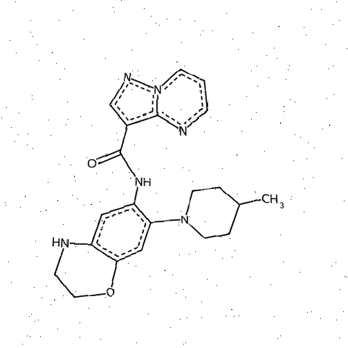 CC1CCN(c2cc3c(cc2NC(=O)c2cnn4cccnc24)NCCO3)CC1